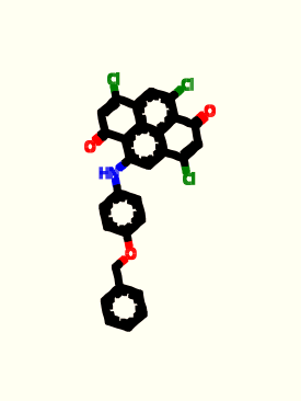 O=C1C=C(Cl)c2cc(Nc3ccc(OCc4ccccc4)cc3)c3c4c(cc(Cl)c1c24)C(Cl)=CC3=O